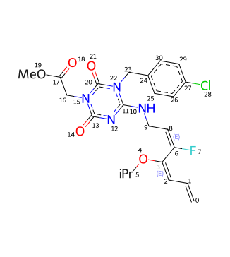 C=C/C=C(OC(C)C)\C(F)=C/CNc1nc(=O)n(CC(=O)OC)c(=O)n1Cc1ccc(Cl)cc1